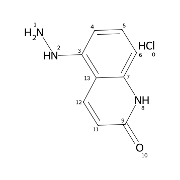 Cl.NNc1cccc2[nH]c(=O)ccc12